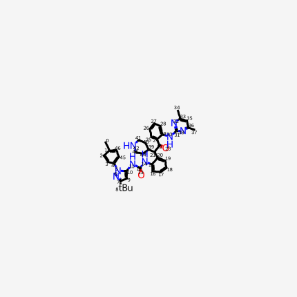 Cc1ccc(-n2nc(C(C)(C)C)cc2NC(=O)Nc2ccccc2C(C(=O)c2ccccc2Nc2nc(C)cc(C)n2)C2CCNCC2)cc1